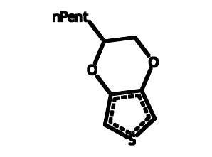 CCCCCC1COc2cscc2O1